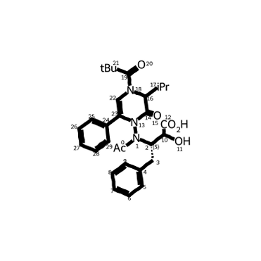 CC(=O)N([C@@H](Cc1ccccc1)C(O)C(=O)O)N1C(=O)C(C(C)C)N(C(=O)C(C)(C)C)C=C1c1ccccc1